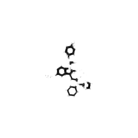 COc1ccc2c(c1)c(CC(=O)N(c1nccs1)C1CCCCC1)c(C)n2C(=O)Oc1ccc(Cl)cc1